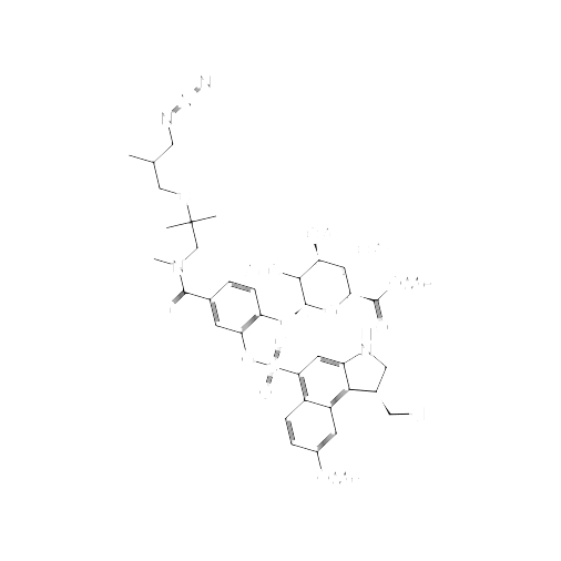 COC(=O)[C@H]1O[C@@H](Oc2ccc(C(=O)N(C)CC(C)(C)OCC(C)CN=[N+]=[N-])cc2OS(=O)(=O)c2cc3c(c4cc(OC)ccc24)[C@H](CCl)CN3)C(OC(C)=O)[C@@H](OC(C)=O)[C@@H]1OC(C)=O